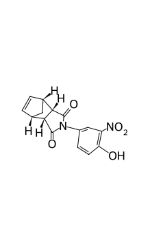 O=C1[C@@H]2[C@H](C(=O)N1c1ccc(O)c([N+](=O)[O-])c1)[C@@H]1C=C[C@H]2C1